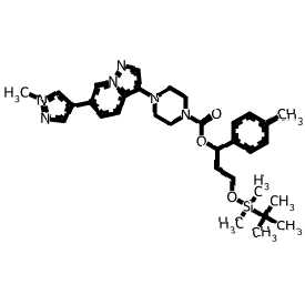 Cc1ccc(C(CCO[Si](C)(C)C(C)(C)C)OC(=O)N2CCN(c3cnn4cc(-c5cnn(C)c5)ccc34)CC2)cc1